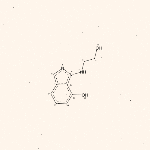 OCCNn1ncc2cccc(O)c21